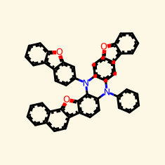 c1ccc(N(c2ccccc2)c2ccc3c(oc4c5ccccc5ccc34)c2N(c2ccc3c(c2)oc2ccccc23)c2ccc3c(c2)oc2ccccc23)cc1